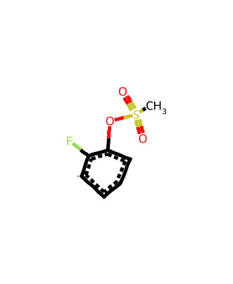 CS(=O)(=O)Oc1ccc[c]c1F